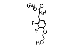 CC(C)(C)OC(=O)NCc1ccc(OCCO)c(F)c1F